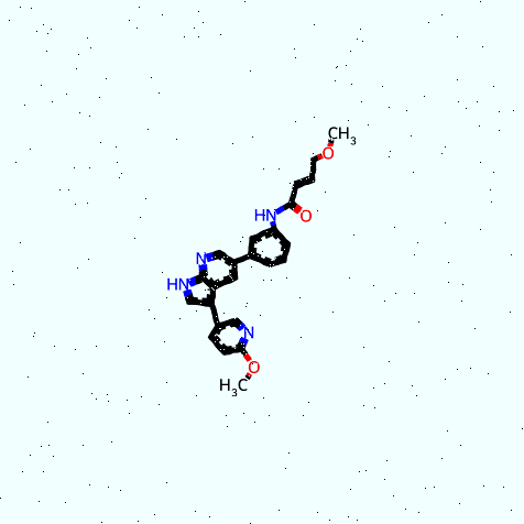 COCC=CC(=O)Nc1cccc(-c2cnc3[nH]cc(-c4ccc(OC)nc4)c3c2)c1